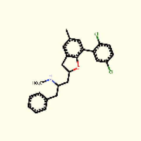 Cc1cc2c(c(-c3cc(Cl)ccc3Cl)c1)OC(CC(Cc1ccccc1)NC(=O)O)C2